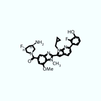 COc1cc(C(=O)N2C[C@H](N)C[C@@H](F)C2)cc2nc(-c3cc4ccc(-c5cccc(O)c5F)nc4n3CC3CC3)n(C)c12